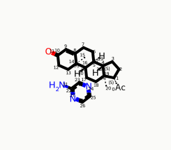 CC(=O)[C@H]1CC[C@H]2[C@@H]3CCC4=CC(=O)CC[C@]4(C)[C@H]3CC[C@]12C.Nc1cnccn1